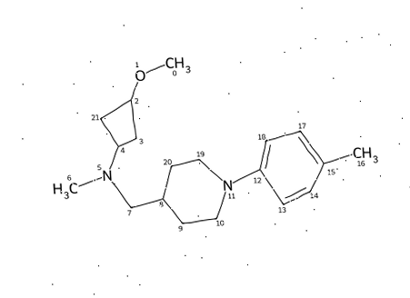 COC1CC(N(C)CC2CCN(c3ccc(C)cc3)CC2)C1